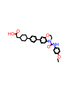 CCOc1ccc(NC(=O)N2CCOc3cc(-c4ccc(C5CCC(CC(=O)O)CC5)cc4)ccc32)cc1